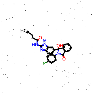 C#CCCC(=O)Nc1nc2ccc(C3(O)c4ccccc4C(=O)N3c3ccc(F)cc3)cc2[nH]1